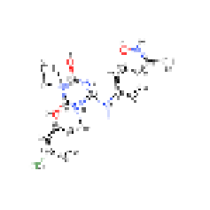 CCn1c(=O)nc(Nc2ccc3c(C)noc3c2)n(Cc2ccc(Cl)cc2)c1=O